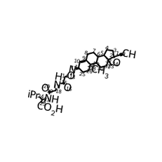 C#CC12CCC3C4CCC5=C/C(=N/OCC(=O)NCC(=O)NC(C(=O)O)C(C)C)CC[C@]5(C)C4CCC31CO2